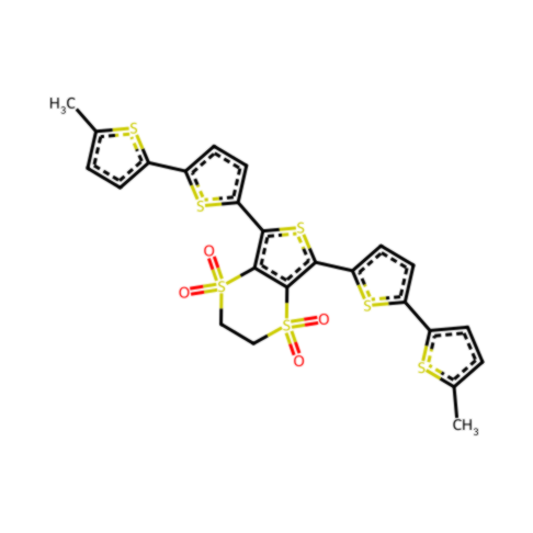 Cc1ccc(-c2ccc(-c3sc(-c4ccc(-c5ccc(C)s5)s4)c4c3S(=O)(=O)CCS4(=O)=O)s2)s1